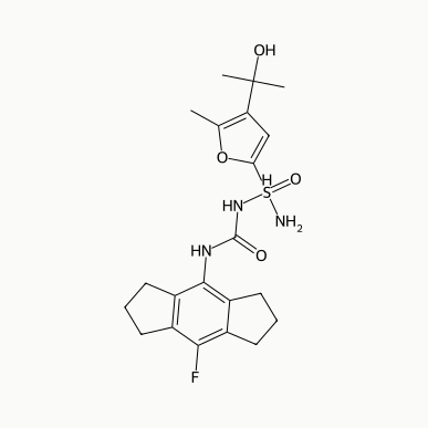 Cc1oc([SH](N)(=O)NC(=O)Nc2c3c(c(F)c4c2CCC4)CCC3)cc1C(C)(C)O